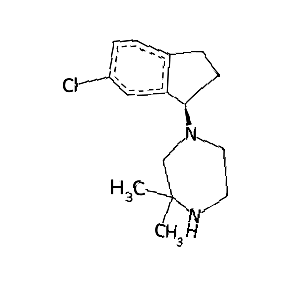 CC1(C)CN([C@@H]2CCc3ccc(Cl)cc32)CCN1